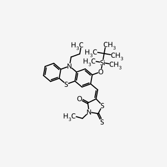 CCCN1c2ccccc2Sc2cc(C=C3SC(=S)N(CC)C3=O)c(O[Si](C)(C)C(C)(C)C)cc21